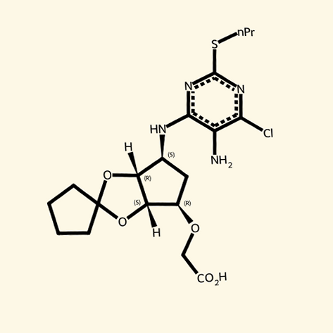 CCCSc1nc(Cl)c(N)c(N[C@H]2C[C@@H](OCC(=O)O)[C@@H]3OC4(CCCC4)O[C@@H]32)n1